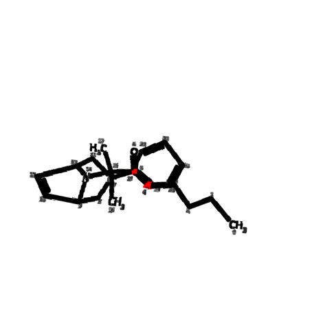 CCCCOC(=O)N1CC2C=CC(C1)N2C(C)(C)c1ccccc1